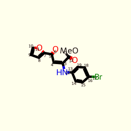 COC(=O)C(=CC(=O)c1ccco1)Nc1ccc(Br)cc1